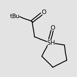 CC(C)(C)C(=O)C[SH]1(=O)CCCC1